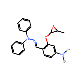 CCN(CC)c1ccc(C=NN(c2ccccc2)c2ccccc2)c(OC2OC2C)c1